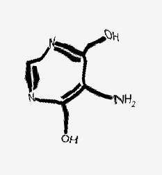 Nc1c(O)ncnc1O